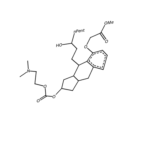 CCCCCC(O)CCC1c2c(cccc2OCC(=O)OC)CC2CC(OC(=O)OCCN(C)C)CC21